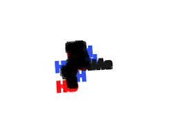 CN[C@@H](C)C(=O)N[C@H](C(=O)N1CCC[C@H]1C(=O)NC(C(=O)NCCCCCCNC(=O)C1CC=Cc2sc(NCCOCO)nc21)C(C1=CCCC=C1)C1C=CC=CC1)C1CCCCC1